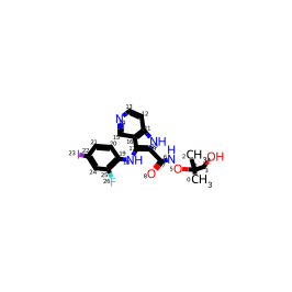 CC(C)(CO)ONC(=O)c1[nH]c2ccncc2c1Nc1ccc(I)cc1F